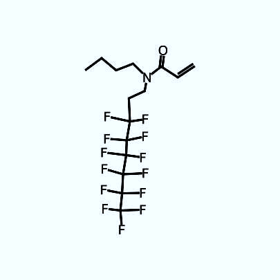 C=CC(=O)N(CCCC)CCC(F)(F)C(F)(F)C(F)(F)C(F)(F)C(F)(F)C(F)(F)F